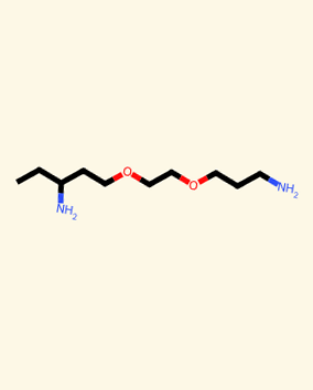 CCC(N)CCOCCOCCCN